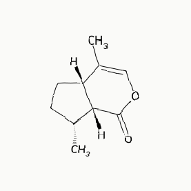 CC1=COC(=O)[C@@H]2[C@H](C)CC[C@H]12